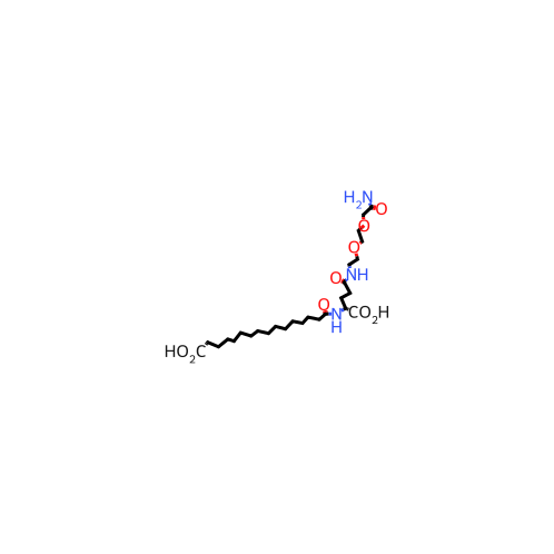 NC(=O)COCCOCCNC(=O)CCC(NC(=O)CCCCCCCCCCCCCCC(=O)O)C(=O)O